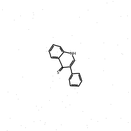 S=c1c(-c2ccccc2)[c][nH]c2ccccc12